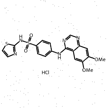 COc1cc2ncnc(Nc3ccc(S(=O)(=O)Nc4nccs4)cc3)c2cc1OC.Cl